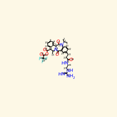 CC(C)N1C(=O)C(c2ccccc2)N(C(C)CC(=O)OC(=O)C(F)(F)F)C(=O)c2cc(CCC(=O)NCCNC(=N)N)ccc21